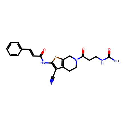 N#Cc1c(NC(=O)C=Cc2ccccc2)sc2c1CCN(C(=O)CCNC(N)=O)C2